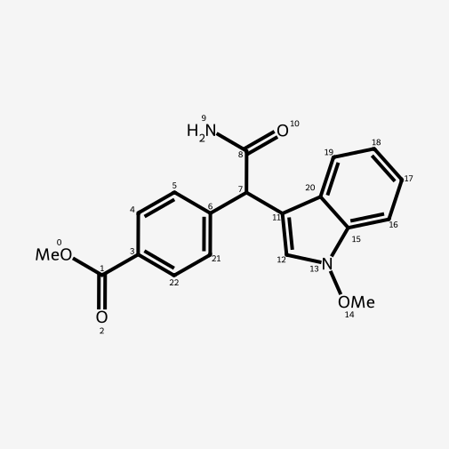 COC(=O)c1ccc(C(C(N)=O)c2cn(OC)c3ccccc23)cc1